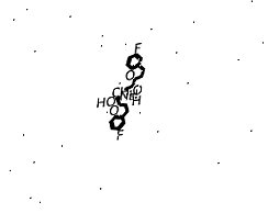 CC(O)(NCC(O)C1CCc2cc(F)ccc2O1)C1CCc2cc(F)ccc2O1